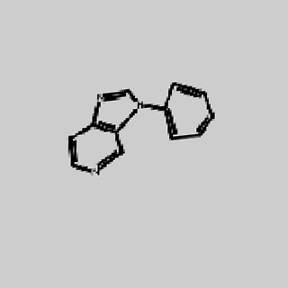 c1ccc(-n2cnc3ccncc32)cc1